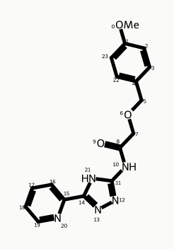 COc1ccc(COCC(=O)Nc2nnc(-c3ccccn3)[nH]2)cc1